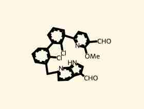 COc1nc(-c2cccc(-c3cccc(Cc4ccc5c(C=O)c[nH]c5n4)c3Cl)c2Cl)ccc1C=O